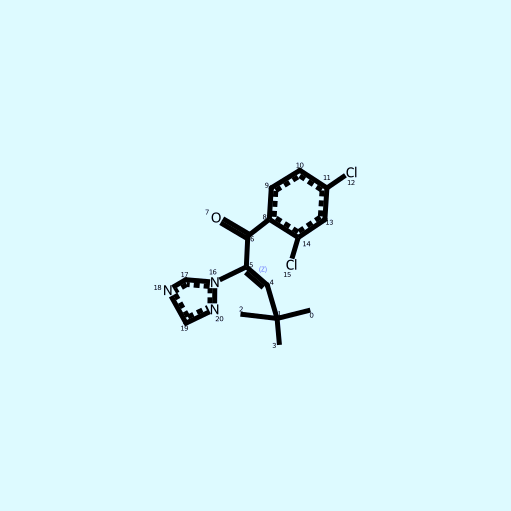 CC(C)(C)/C=C(/C(=O)c1ccc(Cl)cc1Cl)n1cncn1